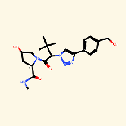 CNC(=O)[C@H]1CC(O)CN1C(=O)C(n1cc(-c2ccc(CO)cc2)nn1)C(C)(C)C